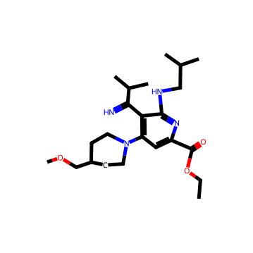 CCOC(=O)c1cc(N2CCC(COC)CC2)c(C(=N)C(C)C)c(NCC(C)C)n1